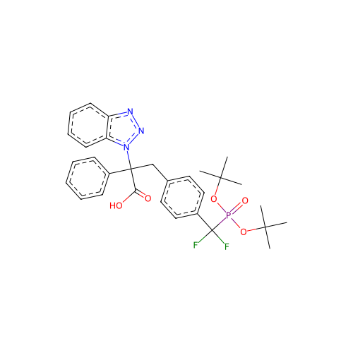 CC(C)(C)OP(=O)(OC(C)(C)C)C(F)(F)c1ccc(CC(C(=O)O)(c2ccccc2)n2nnc3ccccc32)cc1